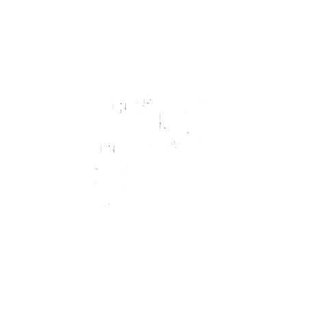 COc1ccc(Nc2ccc(NC(=O)c3ccccc3)c3c2CNC3=O)cc1